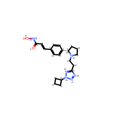 O=C(C=Cc1ccc([C@@H]2CCCN2CCc2nnn(C3CCC3)n2)cc1)NO